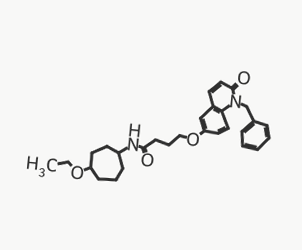 CCOC1CCCC(NC(=O)CCCOc2ccc3c(ccc(=O)n3Cc3ccccc3)c2)CC1